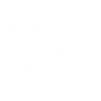 CCc1cc(F)c(N)cc1-n1cc(C(=O)O)c(=O)c2cc(F)c(N3CC(NC)C3)cc21